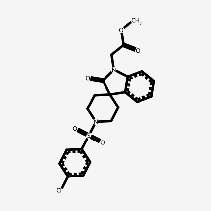 COC(=O)CN1C(=O)C2(CCN(S(=O)(=O)c3ccc(Cl)cc3)CC2)c2ccccc21